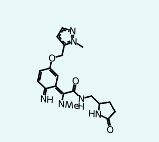 CN/C(C(=O)NCC1CCC(=O)N1)=C1/C=C(OCc2ccnn2C)C=CC1=N